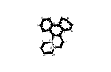 C1=CB2c3c(c4ccccc4c4ccccc34)C=CN2C=C1